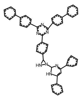 C1=C(c2ccccc2)NC(N2NC2c2ccc(-c3nc(-c4ccc(-c5ccccc5)cc4)nc(-c4ccc(-c5ccccc5)cc4)n3)cc2)N=C1c1ccccc1